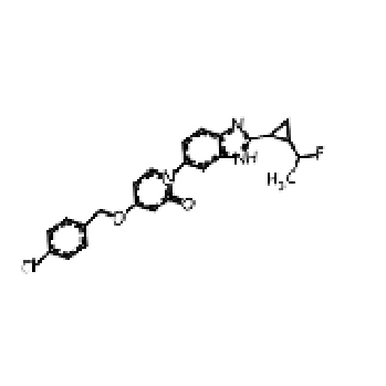 CC(F)C1CC1c1nc2ccc(-n3ccc(OCc4ccc(Cl)cc4)cc3=O)cc2[nH]1